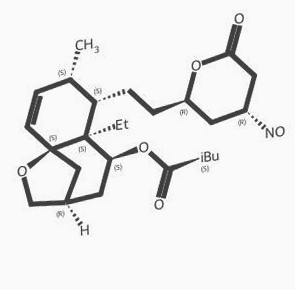 CC[C@H](C)C(=O)O[C@H]1C[C@H]2CO[C@]3(C=C[C@H](C)[C@H](CC[C@@H]4C[C@@H](N=O)CC(=O)O4)[C@@]13CC)C2